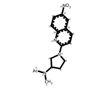 CC(=O)N(C)C1CCN(c2ccc3cc([N+](=O)[O-])ccc3n2)C1